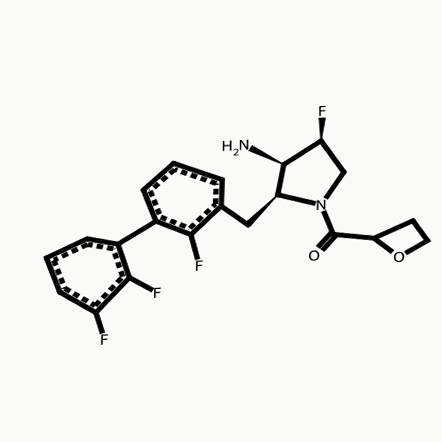 N[C@H]1[C@@H](F)CN(C(=O)C2CCO2)[C@H]1Cc1cccc(-c2cccc(F)c2F)c1F